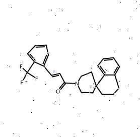 O=C(/C=C/c1ccccc1C(F)(F)F)N1CCC2(CCCc3ccccc32)CC1